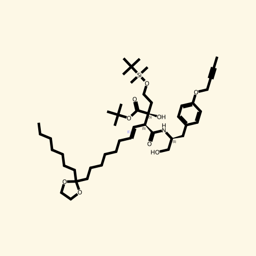 CC#CCOc1ccc(C[C@@H](CO)NC(=O)[C@@H](/C=C/CCCCCCC2(CCCCCCC)OCCO2)[C@@](O)(CCO[Si](C)(C)C(C)(C)C)C(=O)OC(C)(C)C)cc1